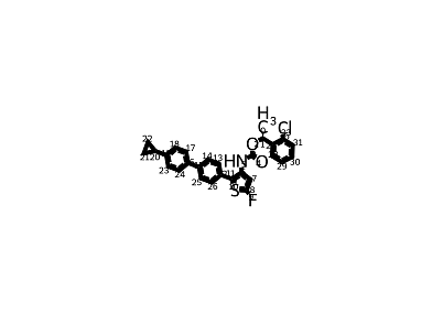 C[C@@H](OC(=O)Nc1cc(F)sc1-c1ccc(-c2ccc(C3CC3)cc2)cc1)c1ccccc1Cl